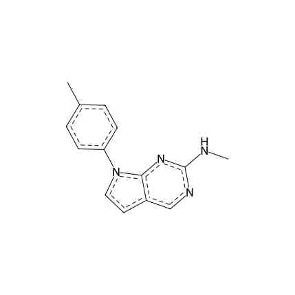 CNc1ncc2ccn(-c3ccc(C)cc3)c2n1